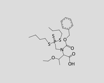 CCCCSP(=S)(CN(C(=O)OCc1ccccc1)C(C(=O)O)C(C)OCC)SCCCC